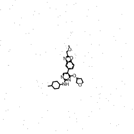 COCc1nc2cc(-c3cnc(NC4CCC(C)CC4)nc3O[C@@H]3CCOC3)ccc2o1